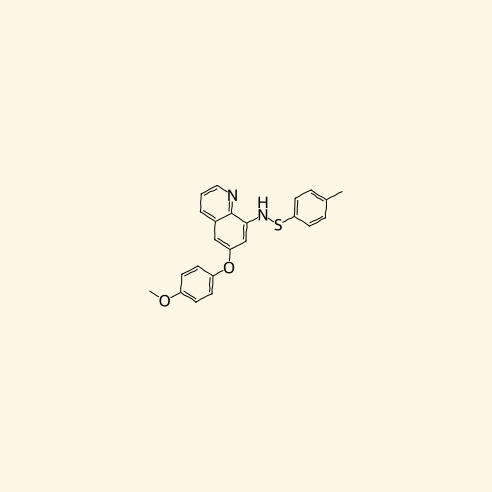 COc1ccc(Oc2cc(NSc3ccc(C)cc3)c3ncccc3c2)cc1